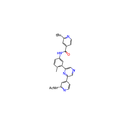 CC(=O)Nc1cc(-c2cncc(-c3cc(NC(=O)c4ccnc(C(C)(C)C)c4)ccc3C)n2)ccn1